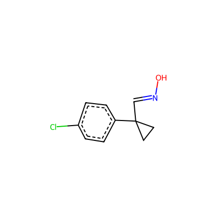 ON=CC1(c2ccc(Cl)cc2)CC1